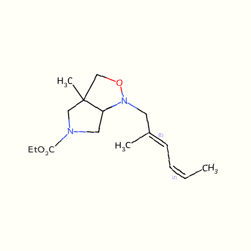 C/C=C\C=C(/C)CN1OCC2(C)CN(C(=O)OCC)CC12